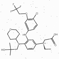 CC[C@H](CC(=O)O)c1ccc(N(CC(C)(C)O)C2CCOCC2)c(Nc2ccc(Cl)c(OCC(F)(F)F)c2)c1